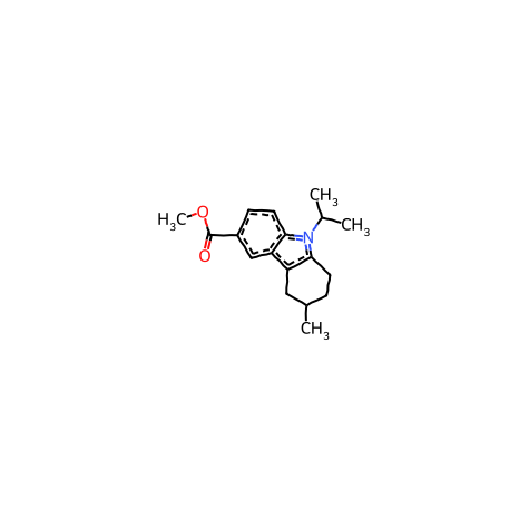 COC(=O)c1ccc2c(c1)c1c(n2C(C)C)CCC(C)C1